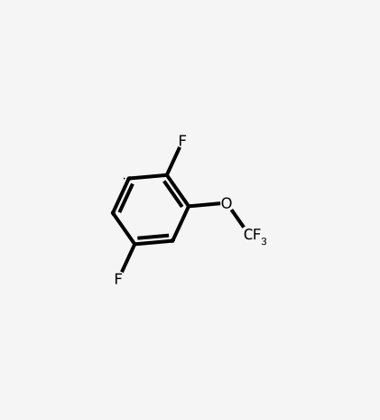 Fc1c[c]c(F)c(OC(F)(F)F)c1